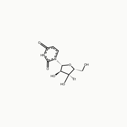 CC[C@@]1(O)[C@@H](CO)O[C@@H](n2ccc(=O)[nH]c2=O)[C@@H]1O